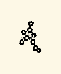 c1ccc(-c2cc(-c3ccccc3)c3oc4c(N(c5ccc(-c6ccc7ccccc7c6)cc5)c5ccc6sc7ccccc7c6c5)cccc4c3c2)cc1